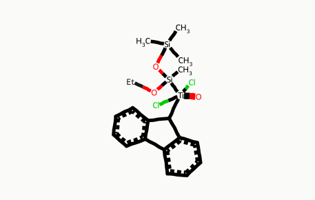 CCO[Si](C)(O[Si](C)(C)C)[Ti](=[O])([Cl])([Cl])[CH]1c2ccccc2-c2ccccc21